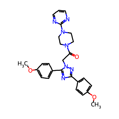 COc1ccc(-c2nc(-c3ccc(OC)cc3)n(CC(=O)N3CCN(c4ncccn4)CC3)n2)cc1